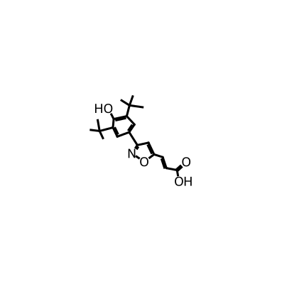 CC(C)(C)c1cc(-c2cc(C=CC(=O)O)on2)cc(C(C)(C)C)c1O